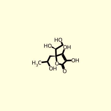 CC(O)C[C@]1([C@@H](O)CO)OC(=O)C(O)=C1O